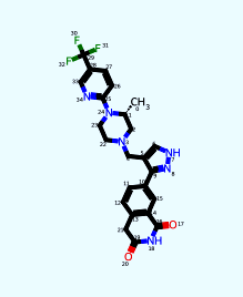 C[C@@H]1CN(Cc2c[nH]nc2-c2ccc3c(c2)C(=O)NC(=O)C3)CCN1c1ccc(C(F)(F)F)cn1